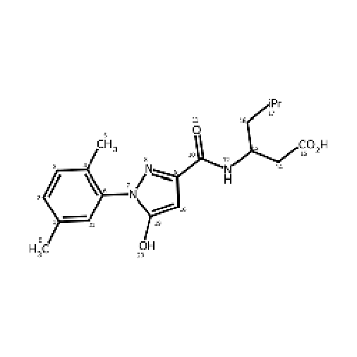 Cc1ccc(C)c(-n2nc(C(=O)NC(CC(=O)O)CC(C)C)cc2O)c1